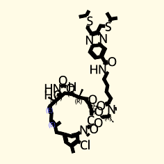 C/C1=C\C=C\[C@@H](C)[C@@]2(O)C[C@H](OC(=O)N2)[C@@H](C)C2O[C@@]2(C)[C@@H](OC(=O)[C@@H](C)N(C)C(=O)CCCCCNC(=O)c2ccc3nc(CSC(C)C)c(CSC(C)C)nc3c2)CC(=O)N(C)c2cc(cc(C)c2Cl)C1